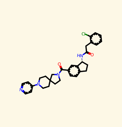 O=C(Cc1ccccc1Cl)N[C@@H]1CCc2ccc(C(=O)N3CCC4(CCN(c5ccncc5)CC4)C3)cc21